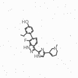 CCc1cc(O)ccc1-c1ccc2c(-c3nc(C4=CCCN(C)C4)c[nH]3)n[nH]c2c1F